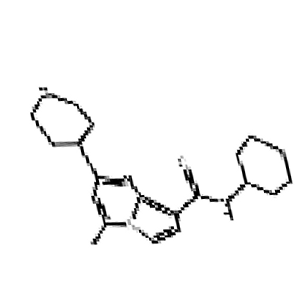 Cc1cc(C2CCOCC2)nc2c(C(=O)NC3CCCCC3)ccn12